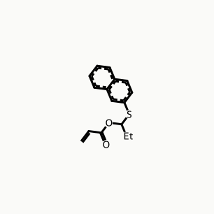 C=CC(=O)OC(CC)Sc1ccc2ccccc2c1